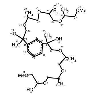 COCC(C)OCC(C)OCC(C)OCC(C)(O)c1cccc(C(C)(O)COC(C)COC(C)COC(C)COC)c1